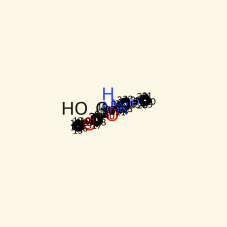 O=C(N[C@@H](Cc1ccc(OCc2ccccc2)cc1)C(=O)O)c1cn2cc(/C=C/c3ccccc3)ccc2n1